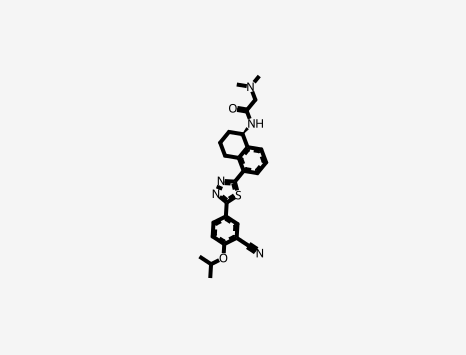 CC(C)Oc1ccc(-c2nnc(-c3cccc4c3CCC[C@H]4NC(=O)CN(C)C)s2)cc1C#N